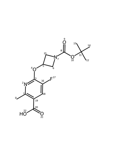 Cc1nc(OC2CN(C(=O)OC(C)(C)C)C2)c(F)cc1C(=O)O